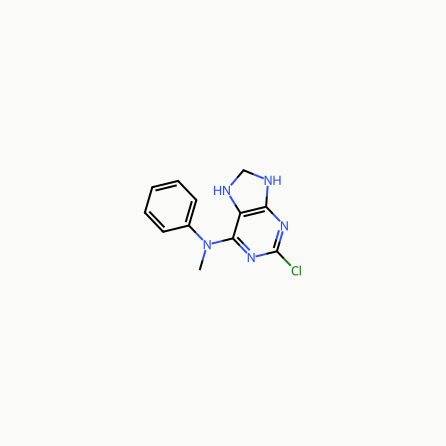 CN(c1ccccc1)c1nc(Cl)nc2c1NCN2